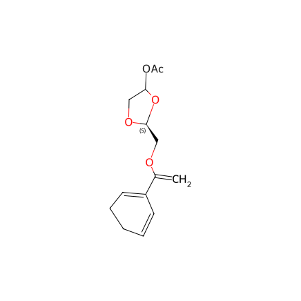 C=C(OC[C@H]1OCC(OC(C)=O)O1)C1=CCCC=C1